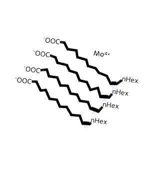 CCCCCC/C=C\CCCCCCCCCC(=O)[O-].CCCCCC/C=C\CCCCCCCCCC(=O)[O-].CCCCCC/C=C\CCCCCCCCCC(=O)[O-].CCCCCC/C=C\CCCCCCCCCC(=O)[O-].[Mo+4]